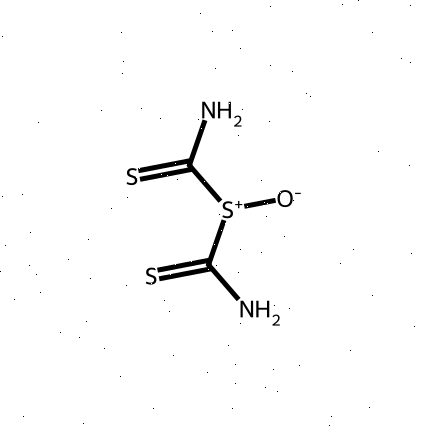 NC(=S)[S+]([O-])C(N)=S